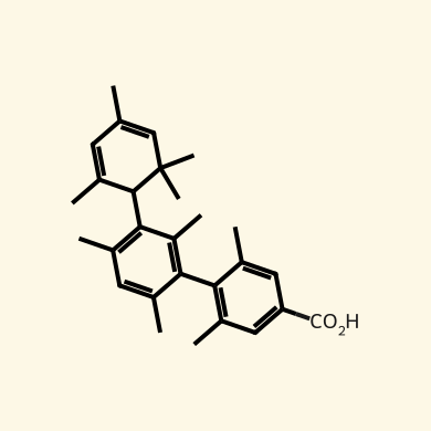 CC1=CC(C)(C)C(c2c(C)cc(C)c(-c3c(C)cc(C(=O)O)cc3C)c2C)C(C)=C1